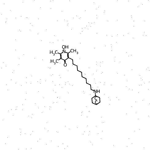 Cc1c(C)n(O)c(C)c(CCCCCCCCCCNC23CCC(CC2)CC3)c1=O